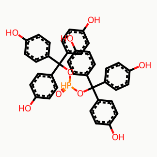 O=[PH](OC(c1ccc(O)cc1)(c1ccc(O)cc1)c1ccc(O)cc1)OC(c1ccc(O)cc1)(c1ccc(O)cc1)c1ccc(O)cc1